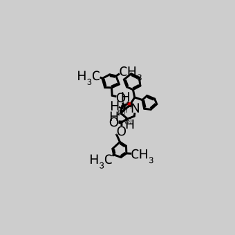 Cc1cc(C)cc(COC(=O)[C@@H]2CN3CC[C@H]2[C@H](OCc2cc(C)cc(C)c2)[C@@H]3C(c2ccccc2)c2ccccc2)c1